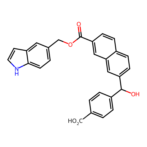 O=C(O)c1ccc(C(O)c2ccc3ccc(C(=O)OCc4ccc5[nH]ccc5c4)cc3c2)cc1